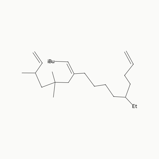 C=CCCC(CC)CCCCC(=CC(C)CC)CC(C)(C)CC(C)C=C